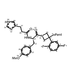 CCCCCC1(c2cc(F)ccc2F)CN(C(=O)[C@@H](Cc2ccc(OC)cc2)NC(=O)CCc2c[nH]cn2)C1